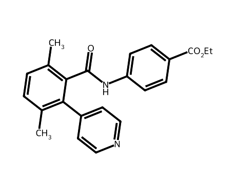 CCOC(=O)c1ccc(NC(=O)c2c(C)ccc(C)c2-c2ccncc2)cc1